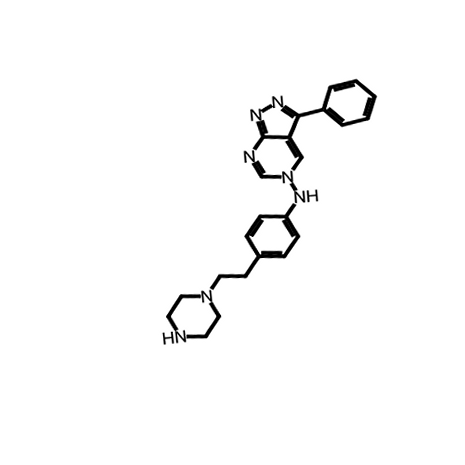 c1ccc(-c2nnc3ncn(Nc4ccc(CCN5CCNCC5)cc4)cc2-3)cc1